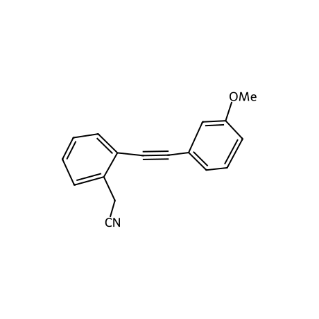 COc1cccc(C#Cc2ccccc2CC#N)c1